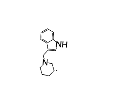 [CH]1CCCN(Cc2c[nH]c3ccccc23)C1